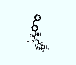 COC(CN(C)C(=O)Nc1ccc(Cc2ccccc2)cc1)OC